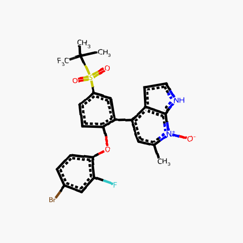 Cc1cc(-c2cc(S(=O)(=O)C(C)(C)C(F)(F)F)ccc2Oc2ccc(Br)cc2F)c2cc[nH]c2[n+]1[O-]